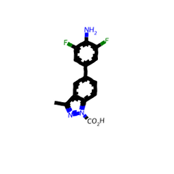 Cc1nn(C(=O)O)c2ccc(-c3cc(F)c(N)c(F)c3)cc12